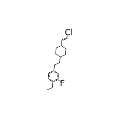 CCc1ccc(CCC2CCC(/C=C/Cl)CC2)cc1F